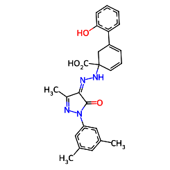 CC1=NN(c2cc(C)cc(C)c2)C(=O)/C1=N\NC1(C(=O)O)C=CC=C(c2ccccc2O)C1